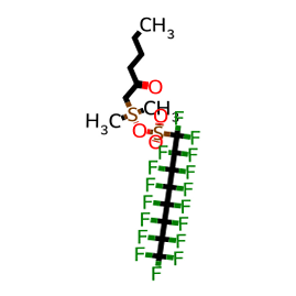 CCCCC(=O)CS(C)(C)OS(=O)(=O)C(F)(F)C(F)(F)C(F)(F)C(F)(F)C(F)(F)C(F)(F)C(F)(F)C(F)(F)F